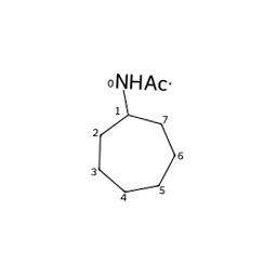 CC(=O)[N]C1CCCCCC1